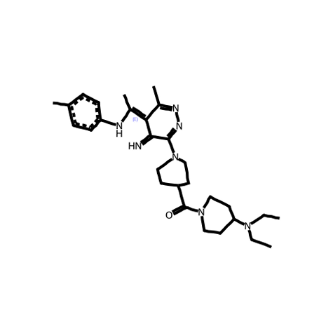 CCN(CC)C1CCN(C(=O)C2CCN(C3=NN=C(C)/C(=C(\C)Nc4ccc(C)cc4)C3=N)CC2)CC1